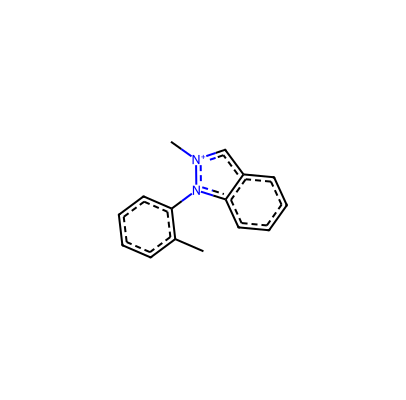 Cc1ccccc1-n1c2ccccc2c[n+]1C